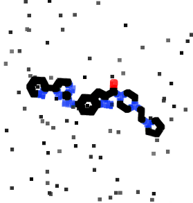 O=C(c1cc2cc(Nc3nccc(-c4ccccn4)n3)ccc2[nH]1)N1CCN(CCN2CCCC2)CC1